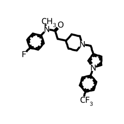 CN(C(=O)CC1CCN(Cc2ccn(-c3ccc(C(F)(F)F)cc3)c2)CC1)c1ccc(F)cc1